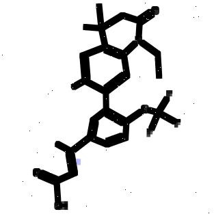 CCN1C(=O)CC(C)(C)c2cc(C)c(-c3cc(/C(C)=C/C(=O)O)ccc3OC(F)(F)F)cc21